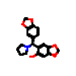 Oc1cc2c(cc1C(c1ccc3c(c1)OCO3)N1CCCC1)OCO2